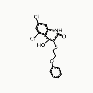 O=c1[nH]c2cc(Cl)cc(Cl)c2c(O)c1SCCOc1ccccc1